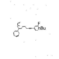 C=C=C/C(=C\C=C/CC#CC(=C/C)/C=C(/F)CCCC)C1=CC=CC#CC1